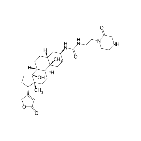 C[C@]12CC[C@H](NC(=O)NCCN3CCNCC3=O)C[C@H]1CC[C@@H]1[C@@H]2CC[C@]2(C)[C@@H](C3=CC(=O)OC3)CC[C@]12O